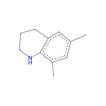 Cc1cc(C)c2c(c1)CCCN2